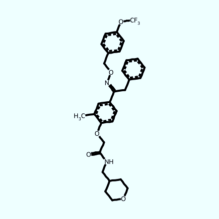 Cc1cc(C(Cc2ccccc2)=NOCc2ccc(OC(F)(F)F)cc2)ccc1OCC(=O)NCC1CCOCC1